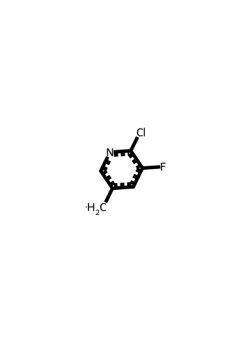 [CH2]c1cnc(Cl)c(F)c1